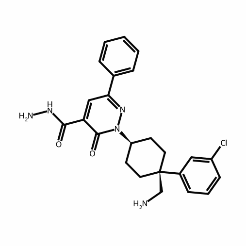 NC[C@]1(c2cccc(Cl)c2)CC[C@H](n2nc(-c3ccccc3)cc(C(=O)NN)c2=O)CC1